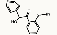 CC(C)Sc1ccccc1C(=O)C(O)c1ccccc1